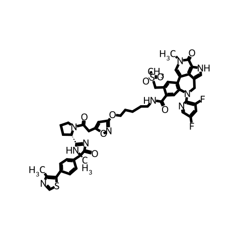 Cc1ncsc1-c1ccc([C@@]2(C)NC([C@@H]3CCCN3C(=O)Cc3cc(OCCCCCNC(=O)c4cc5c(cc4CS(C)(=O)=O)-c4cn(C)c(=O)c6[nH]cc(c46)CN5c4ncc(F)cc4F)no3)=NC2=O)cc1